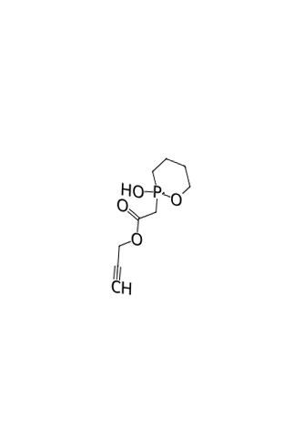 C#CCOC(=O)C[P]1(O)CCCCO1